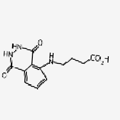 O=C(O)CCCNc1cccc2c(=O)[nH][nH]c(=O)c12